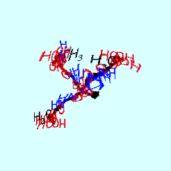 CC(=O)NC1C(OCCCCC(=O)NCCCNC(=O)CCOCC(COCCC(=O)NCCCNC(=O)CCCCOC2OC(CO)C(O)C(O)C2C)(COCCC(=O)NCCCNC(=O)CCCCOC2OC(CO)C(O)C(O)C2C)NC(=O)OCc2ccccc2)OC(CO)C(O)C1O